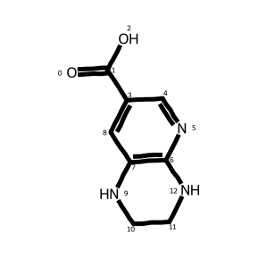 O=C(O)c1cnc2c(c1)NCCN2